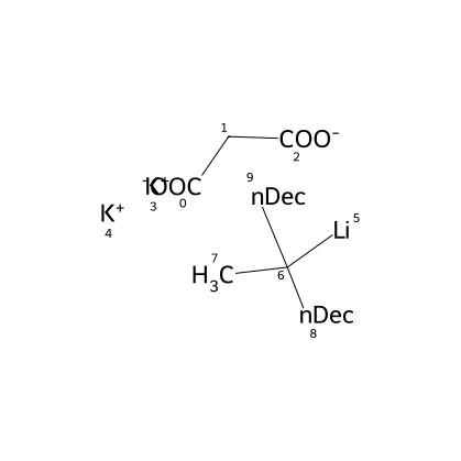 O=C([O-])CC(=O)[O-].[K+].[K+].[Li][C](C)(CCCCCCCCCC)CCCCCCCCCC